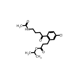 CC(=O)NCCCC(=O)c1ccc(Cl)cc1CCC(=O)OC(C)C